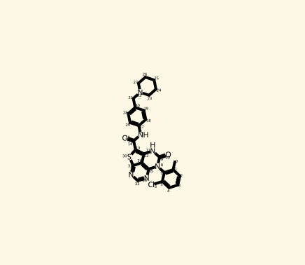 Cc1cccc(Cl)c1N1C(=O)Nc2c(C(=O)Nc3ccc(CN4CCCCC4)cc3)sc3ncnc1c23